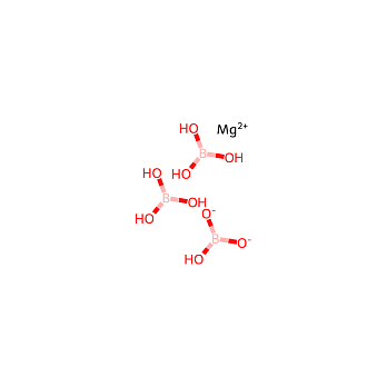 OB(O)O.OB(O)O.[Mg+2].[O-]B([O-])O